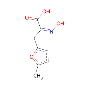 Cc1ccc(CC(=NO)C(=O)O)o1